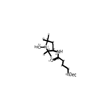 CCCCCCCCCCCCCC(=O)NC1CC(C)(C)N(O)C1(C)C